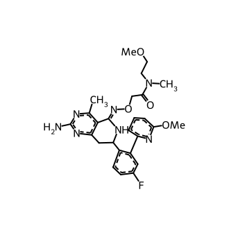 COCCN(C)C(=O)CO/N=C1\NC(c2ccc(F)cc2-c2cccc(OC)n2)Cc2nc(N)nc(C)c21